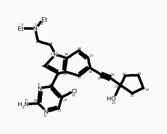 CCN(CC)CCn1cc(-c2nc(N)ncc2Cl)c2cc(C#CC3(O)CCCC3)ccc21